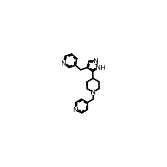 c1cncc(Cc2cn[nH]c2C2CCN(Cc3ccncc3)CC2)c1